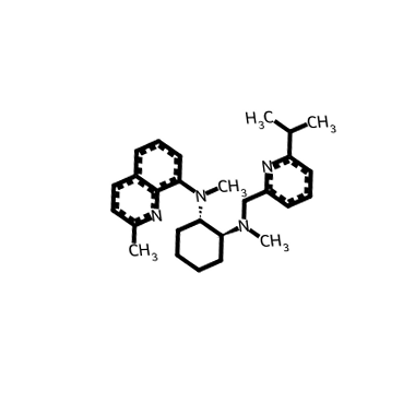 Cc1ccc2cccc(N(C)[C@H]3CCCC[C@@H]3N(C)Cc3cccc(C(C)C)n3)c2n1